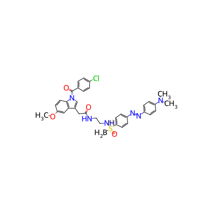 B[SH](=O)(NCCNC(=O)Cc1cn(C(=O)c2ccc(Cl)cc2)c2ccc(OC)cc12)c1ccc(/N=N/c2ccc(N(C)C)cc2)cc1